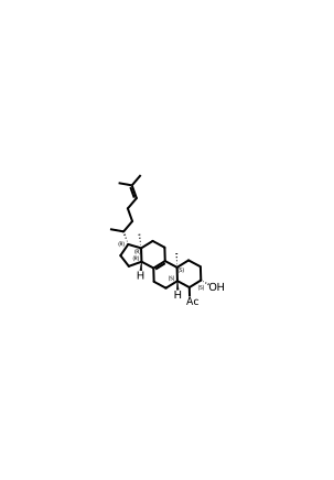 CC(=O)C1[C@@H](O)CC[C@]2(C)C3=C(CC[C@@H]12)[C@@H]1CC[C@H](C(C)CCC=C(C)C)[C@@]1(C)CC3